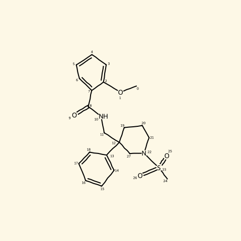 COc1ccccc1C(=O)NCC1(c2ccccc2)CCCN(S(C)(=O)=O)C1